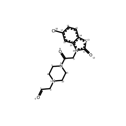 O=CCN1CCN(C(=O)Cn2c(=O)sc3ccc(Cl)cc32)CC1